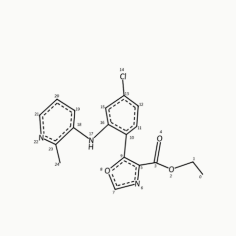 CCOC(=O)c1ncoc1-c1ccc(Cl)cc1Nc1cccnc1C